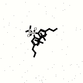 CCCC1=C[CH]([Hf]([Cl])([Cl])([CH]2C=C(CCC)C=C2C(C)(C)C)[SiH](C)C)C(C(C)(C)C)=C1